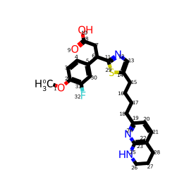 COc1ccc(C(CC(=O)O)c2ncc(CCCCc3ccc4c(n3)NCCC4)s2)cc1F